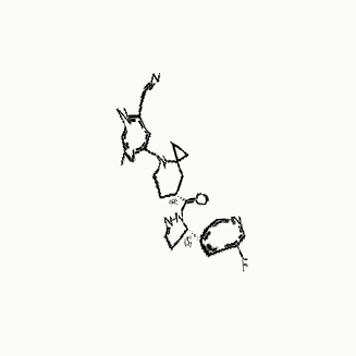 N#Cc1cc(N2CC[C@@H](C(=O)N3N=CC[C@H]3c3cncc(F)c3)CC23CC3)ncn1